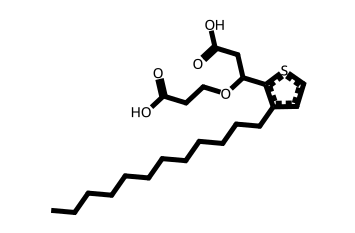 CCCCCCCCCCCCc1ccsc1C(CC(=O)O)OCCC(=O)O